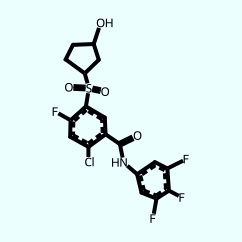 O=C(Nc1cc(F)c(F)c(F)c1)c1cc(S(=O)(=O)C2CCC(O)C2)c(F)cc1Cl